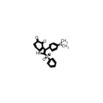 CN(C)c1ccc(-c2c(S(=O)(=O)c3ccccc3)[nH]c3c2C(=O)C(=O)C=C3)cc1